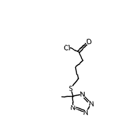 CC1(SCCCC(=O)Cl)N=NN=N1